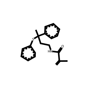 C=C(C)C(=O)NCCC(C)(Sc1ccccc1)c1ccccc1